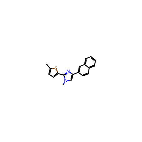 Cc1ccc(-c2nc(-c3ccc4ccccc4c3)cn2C)s1